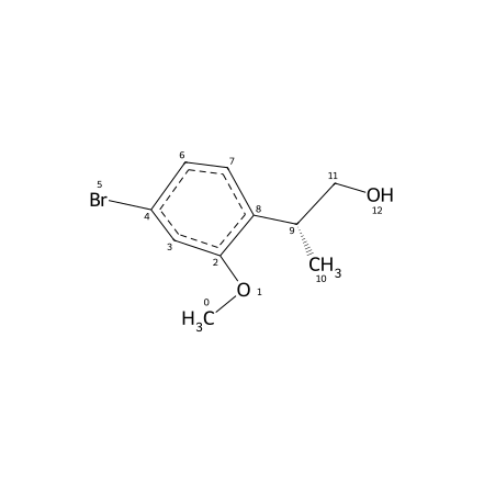 COc1cc(Br)ccc1[C@@H](C)CO